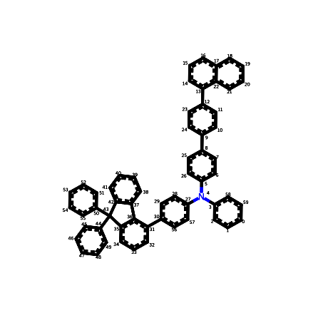 c1ccc(N(c2ccc(-c3ccc(-c4cccc5ccccc45)cc3)cc2)c2ccc(-c3cccc4c3-c3ccccc3C4(c3ccccc3)c3ccccc3)cc2)cc1